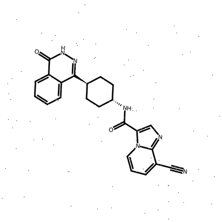 N#Cc1cccn2c(C(=O)N[C@H]3CC[C@H](c4n[nH]c(=O)c5ccccc54)CC3)cnc12